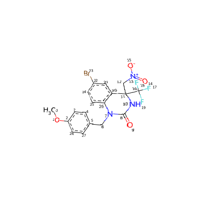 COc1ccc(CN2C(=O)NC(C[N+](=O)[O-])(C(F)(F)F)c3cc(Br)ccc32)cc1